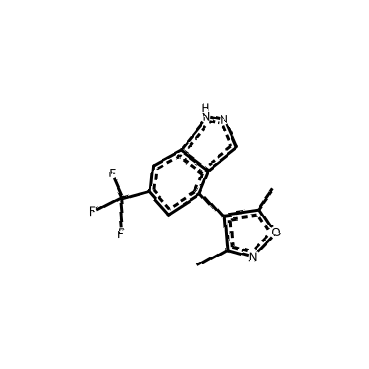 Cc1noc(C)c1-c1cc(C(F)(F)F)cc2[nH]ncc12